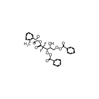 Cc1ccccc1S(=O)(=O)OC(=O)C(F)(F)[C@H](OOC(=O)c1ccccc1)[C@@H](O)COOC(=O)c1ccccc1